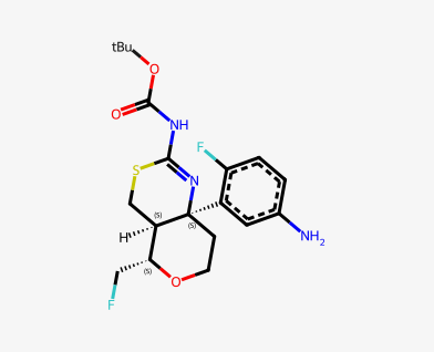 CC(C)(C)OC(=O)NC1=N[C@@]2(c3cc(N)ccc3F)CCO[C@H](CF)[C@H]2CS1